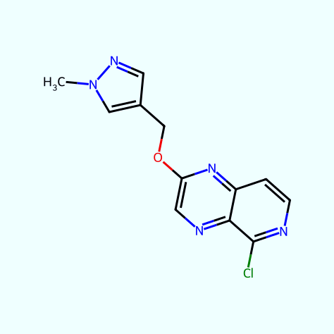 Cn1cc(COc2cnc3c(Cl)nccc3n2)cn1